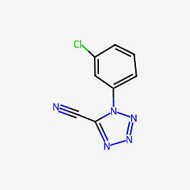 N#Cc1nnnn1-c1cccc(Cl)c1